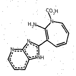 NC1=C(c2nc3ncccc3[nH]2)C=CC=CN1C(=O)O